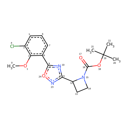 COc1c(Cl)cccc1-c1nc(C2CCN2C(=O)OC(C)(C)C)no1